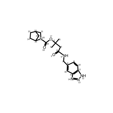 CC(C)(CC(=O)NCc1ccc2[nH]nnc2c1)OC(=O)N1CC2CCC1C2